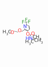 COCCOCc1nc(C(F)(F)F)ccc1OC(=O)NC(C)(C)C